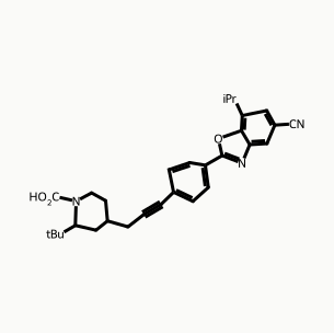 CC(C)c1cc(C#N)cc2nc(-c3ccc(C#CCC4CCN(C(=O)O)C(C(C)(C)C)C4)cc3)oc12